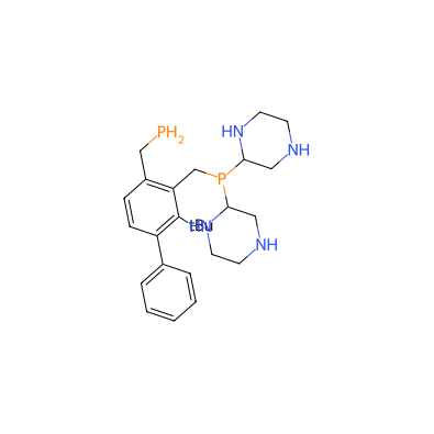 CC(C)(C)c1c(-c2ccccc2)ccc(CP)c1CP(C1CNCCN1)C1CNCCN1